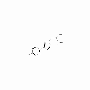 CCOC(Cn1cc(-c2ccc(F)cn2)cn1)OCC